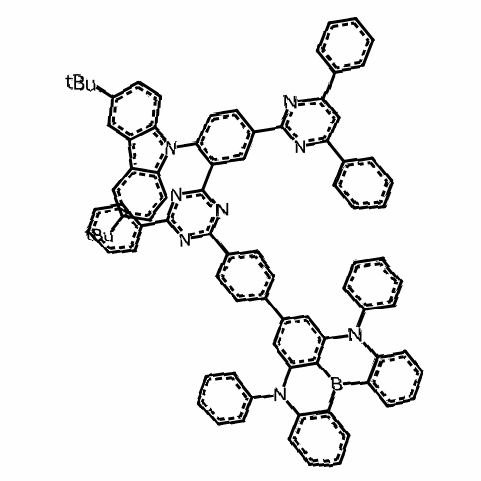 CC(C)(C)c1ccc2c(c1)c1cc(C(C)(C)C)ccc1n2-c1ccc(-c2nc(-c3ccccc3)cc(-c3ccccc3)n2)cc1-c1nc(-c2ccccc2)nc(-c2ccc(-c3cc4c5c(c3)N(c3ccccc3)c3ccccc3B5c3ccccc3N4c3ccccc3)cc2)n1